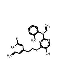 C=C/C=C(\C=C(/C)F)CCOc1nc(N(C=C)c2ccccc2C)ncc1C#N